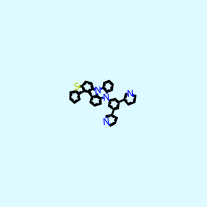 c1cncc(-c2cc(-c3cccnc3)cc(N3c4ccccc4-n4c5ccc6sc7ccccc7c6c5c5cccc3c54)c2)c1